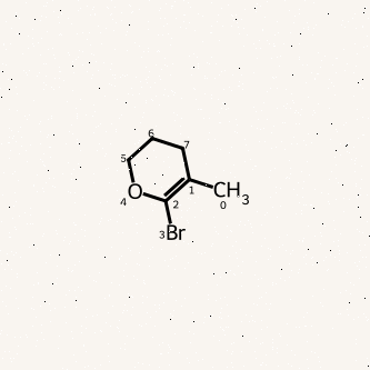 CC1=C(Br)OCCC1